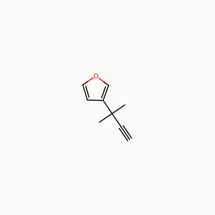 C#CC(C)(C)c1[c]occ1